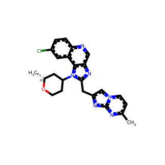 Cc1ccn2cc(Cc3nc4cnc5ccc(Cl)cc5c4n3C3CCO[C@H](C)C3)nc2n1